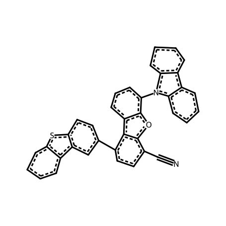 N#Cc1ccc(-c2ccc3sc4ccccc4c3c2)c2c1oc1c(-n3c4ccccc4c4ccccc43)cccc12